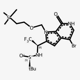 CC(C)(C)[S@@+]([O-])N[C@H](c1cc2c(Br)c[nH]c(=O)c2n1COCC[Si](C)(C)C)C(F)(F)F